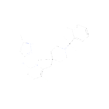 Cc1cc(Nc2ccc(F)c(CC3(C(=O)O)CCN(C(C)(C)c4ccccc4C(F)(F)F)CC3)n2)n[nH]1